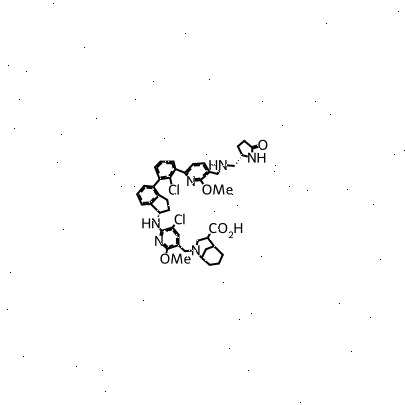 COc1nc(-c2cccc(-c3cccc4c3CC[C@@H]4Nc3nc(OC)c(CN4CC(C(=O)O)C5CCCC4C5)cc3Cl)c2Cl)ccc1CNC[C@@H]1CCC(=O)N1